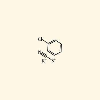 Clc1ccccc1.N#C[S-].[K+]